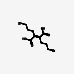 O=C(O)C(CCCBr)=C(CCCBr)C(=O)O